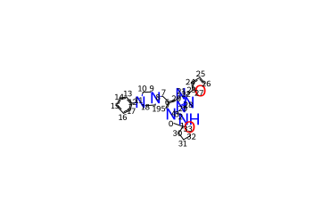 CC1(Nc2ncc(CN3CCN(c4ccccc4)CC3)c3nc(-c4ccco4)nn23)CCCO1